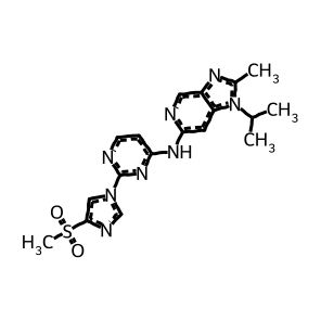 Cc1nc2cnc(Nc3ccnc(-n4cnc(S(C)(=O)=O)c4)n3)cc2n1C(C)C